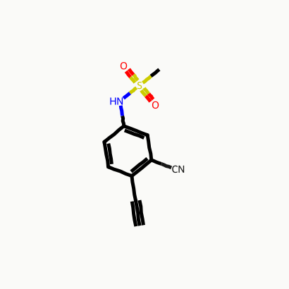 C#Cc1ccc(NS(C)(=O)=O)cc1C#N